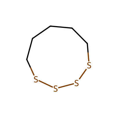 C1CCSSSSCC1